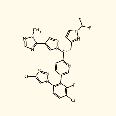 Cn1ncnc1-c1cnn([C@H](Cc2ccn(C(F)F)n2)c2ccc(-c3c(-n4cc(Cl)nn4)ccc(Cl)c3F)cn2)c1